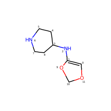 C1=C(NC2CCNCC2)OCO1